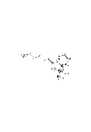 CCCCCCCc1ccccc1S(N)(=O)=O